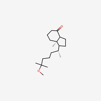 COC(C)(C)CCC[C@@H](C)C1CCC2C(=O)CCC[C@@]21C